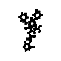 Cc1ccccc1CNC(=O)CN(CSC(C)C)C(=O)[C@@H](O)[C@H](Cc1ccccc1)NC(=O)C1CCCNC1